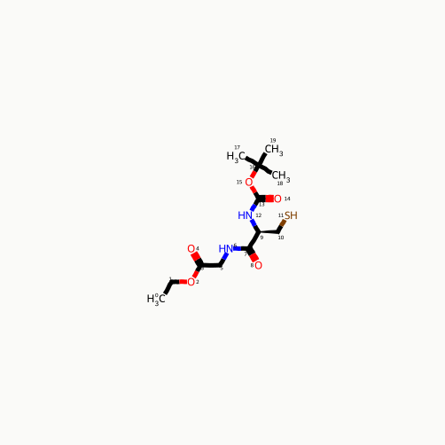 CCOC(=O)CNC(=O)[C@H](CS)NC(=O)OC(C)(C)C